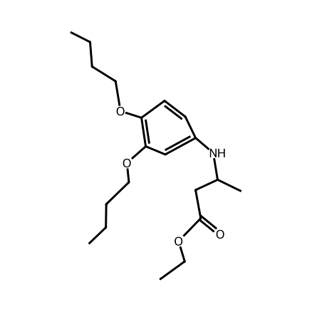 CCCCOc1ccc(NC(C)CC(=O)OCC)cc1OCCCC